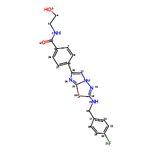 O=C(NCCO)c1ccc(-c2cn3nc(NCc4ccc(F)cc4)sc3n2)cc1